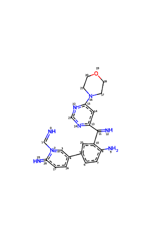 N=Cn1cc(-c2ccc(N)c(C(=N)c3cc(N4CCOCC4)ncn3)c2)ccc1=N